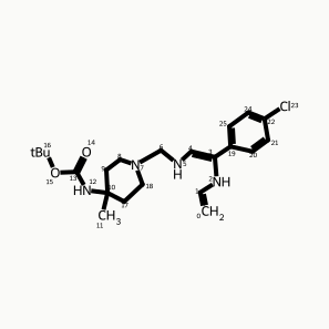 C=CN/C(=C\NCN1CCC(C)(NC(=O)OC(C)(C)C)CC1)c1ccc(Cl)cc1